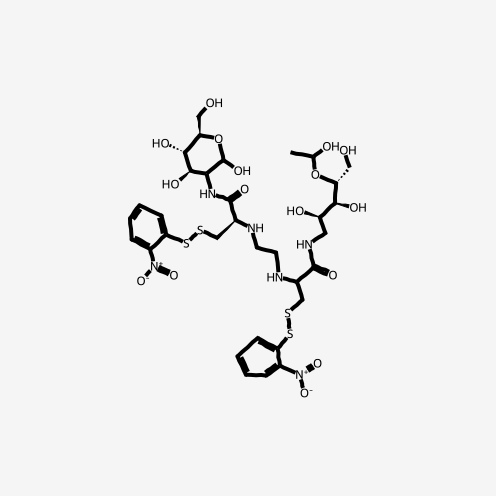 CC(O)O[C@H](CO)[C@@H](O)[C@H](O)CNC(=O)C(CSSc1ccccc1[N+](=O)[O-])NCCN[C@@H](CSSc1ccccc1[N+](=O)[O-])C(=O)NC1C(O)O[C@H](CO)[C@@H](O)[C@@H]1O